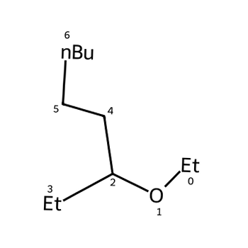 [CH2]COC(CC)CCCCCC